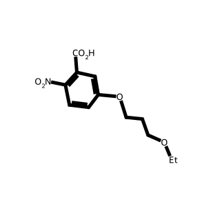 CCOCCCOc1ccc([N+](=O)[O-])c(C(=O)O)c1